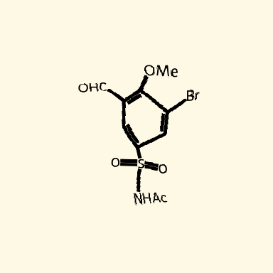 COc1c(Br)cc(S(=O)(=O)NC(C)=O)cc1C=O